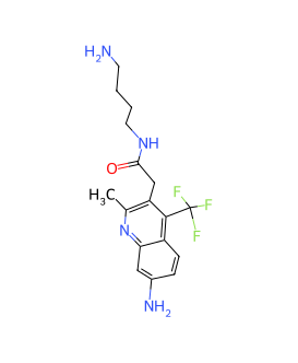 Cc1nc2cc(N)ccc2c(C(F)(F)F)c1CC(=O)NCCCCN